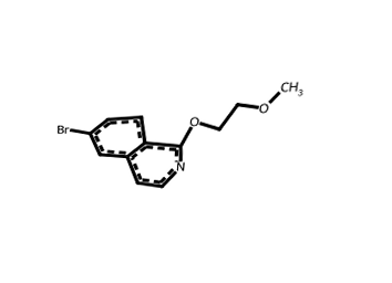 COCCOc1nccc2cc(Br)ccc12